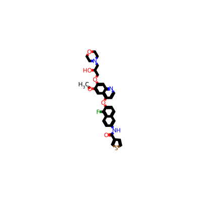 COc1cc2c(Oc3ccc4cc(NC(=O)c5ccsc5)ccc4c3F)ccnc2cc1OCC(O)CN1CCOCC1